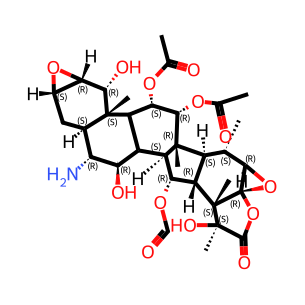 CC(=O)O[C@H]1C2C([C@@H](O)[C@H](N)[C@H]3C[C@@H]4O[C@@H]4[C@H](O)[C@]23C)[C@@H]2[C@@H](OC=O)[C@@H]3[C@H]([C@H](C)[C@H]4O[C@]45OC(=O)[C@@](C)(O)[C@]35C)[C@@]2(C)[C@H]1OC(C)=O